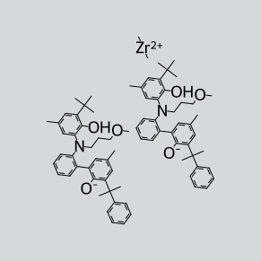 COCCCN(c1ccccc1-c1cc(C)cc(C(C)(C)c2ccccc2)c1[O-])c1cc(C)cc(C(C)(C)C)c1O.COCCCN(c1ccccc1-c1cc(C)cc(C(C)(C)c2ccccc2)c1[O-])c1cc(C)cc(C(C)(C)C)c1O.[CH3][Zr+2][CH3]